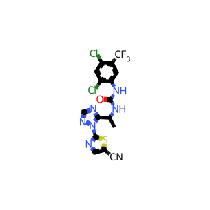 CC(NC(=O)Nc1cc(C(F)(F)F)c(Cl)cc1Cl)c1ncnn1-c1ncc(C#N)s1